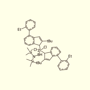 CCc1ccccc1-c1cccc2c1C=C(C(C)(C)C)[CH]2[Zr]([Cl])([Cl])([BH]N([Si](C)(C)C)[Si](C)(C)C)[CH]1C(C(C)(C)C)=Cc2c(-c3ccccc3CC)cccc21